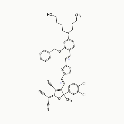 CCCCN(CCCCO)c1ccc(/C=C/c2ccc(/C=C/C3=C(C#N)C(=C(C#N)C#N)OC3(C)c3ccc(Cl)c(Cl)c3)s2)c(OCc2ccccc2)c1